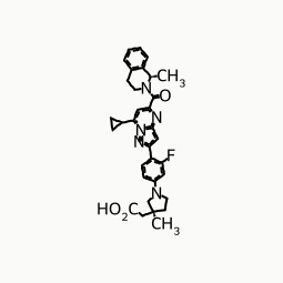 C[C@@H]1c2ccccc2CCN1C(=O)c1cc(C2CC2)n2nc(-c3ccc(N4CC[C@](C)(CC(=O)O)C4)cc3F)cc2n1